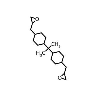 CC(C)(C1CCC(CC2CO2)CC1)C1CCC(CC2CO2)CC1